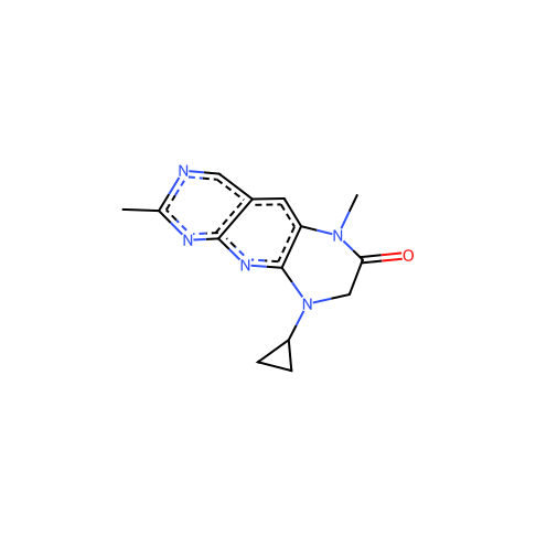 Cc1ncc2cc3c(nc2n1)N(C1CC1)CC(=O)N3C